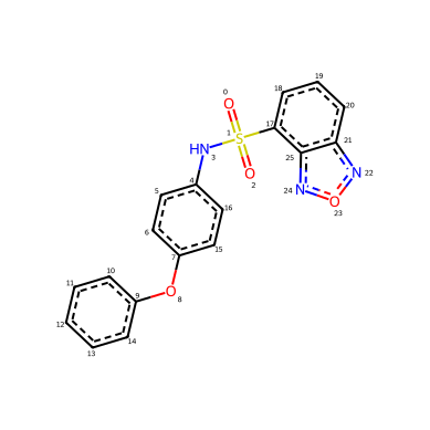 O=S(=O)(Nc1ccc(Oc2ccccc2)cc1)c1cccc2nonc12